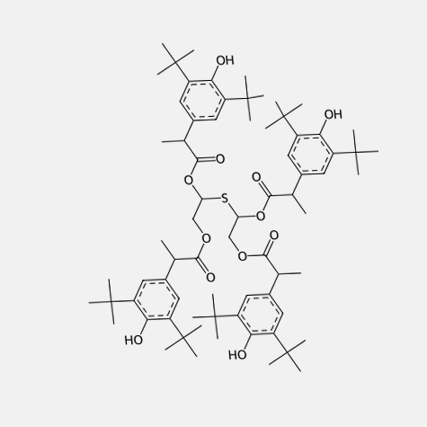 CC(C(=O)OCC(OC(=O)C(C)c1cc(C(C)(C)C)c(O)c(C(C)(C)C)c1)SC(COC(=O)C(C)c1cc(C(C)(C)C)c(O)c(C(C)(C)C)c1)OC(=O)C(C)c1cc(C(C)(C)C)c(O)c(C(C)(C)C)c1)c1cc(C(C)(C)C)c(O)c(C(C)(C)C)c1